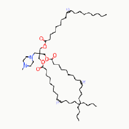 CCCCCCCC/C=C\CCCCCCCC(=O)OCC(COC(=O)CCCCCCC/C=C\CCCCCCCC)(COC(=O)CCCCCCC/C=C\CCCCCCCC)CN1CCN(C)CC1